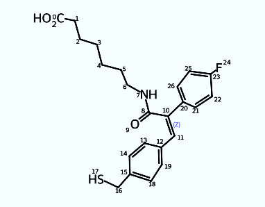 O=C(O)CCCCCCNC(=O)/C(=C\c1ccc(CS)cc1)c1ccc(F)cc1